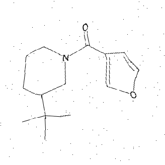 CC(C)(C)C1CCCN(C(=O)c2ccoc2)C1